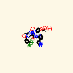 C[C@@H](O)COc1ccc(-n2c(C(=O)NCc3ccccc3-c3cccnn3)c3n(c2=O)C[C@H](C)N(C(=O)c2ccc(Br)c(C(F)(F)F)c2)C3)cc1